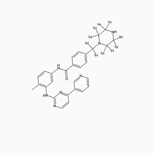 [2H]C([2H])(c1ccc(C(=O)Nc2ccc(C)c(Nc3nccc(-c4cccnc4)n3)c2)cc1)N1C([2H])([2H])C([2H])([2H])NC([2H])([2H])C1([2H])[2H]